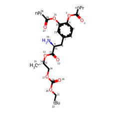 CCCC(=O)Oc1ccc(C[C@H](N)C(=O)O[C@@H](C)COC(=O)OCC(C)(C)C)cc1OC(=O)CCC